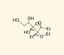 CCO[C@@](CC)(C(=O)CC)[C@@](O)(Cl)C(O)CO